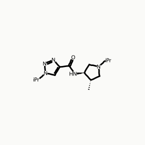 CC(C)N1C[C@H](NC(=O)c2cn(C(C)C)nn2)[C@@H](C)C1